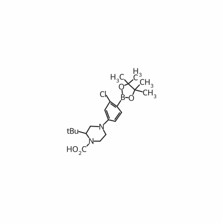 CC(C)(C)C1CN(c2ccc(B3OC(C)(C)C(C)(C)O3)c(Cl)c2)CCN1C(=O)O